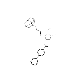 O=C(O)C[C@@H]1[C@@H](C(O)=CCCC23CC4CC(CC(C4)C2)C3)[C@H](OC(=O)c2ccc(-c3ccccc3)cc2)C[C@@H]1O